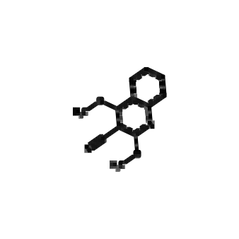 COc1nc2ccccc2c(OC)c1C#N